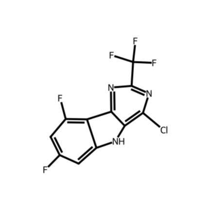 Fc1cc(F)c2c(c1)[nH]c1c(Cl)nc(C(F)(F)F)nc12